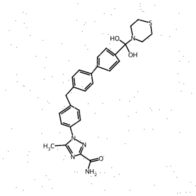 Cc1nc(C(N)=O)nn1-c1ccc(Cc2ccc(-c3ccc(C(O)(O)N4CCSCC4)cc3)cc2)cc1